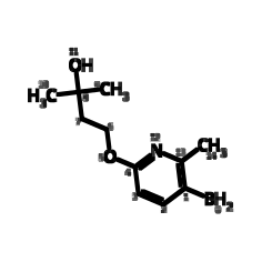 Bc1ccc(OCCC(C)(C)O)nc1C